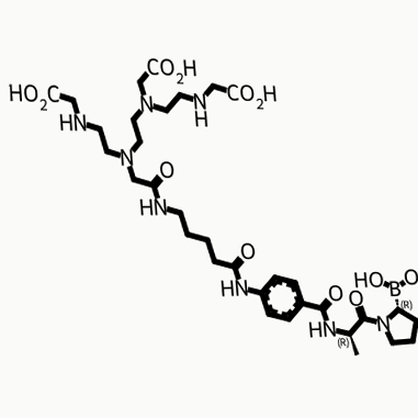 C[C@@H](NC(=O)c1ccc(NC(=O)CCCCNC(=O)CN(CCNCC(=O)O)CCN(CCNCC(=O)O)CC(=O)O)cc1)C(=O)N1CCC[C@H]1B(O)O